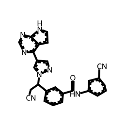 N#CCC(c1cccc(C(=O)Nc2cccc(C#N)c2)c1)n1cc(-c2ncnc3[nH]ccc23)cn1